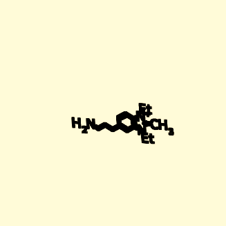 CCn1c(C)[n+](CC)c2ccc(CCCN)cc21